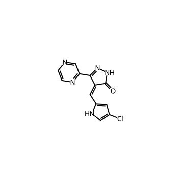 O=C1NN=C(c2cnccn2)C1=Cc1cc(Cl)c[nH]1